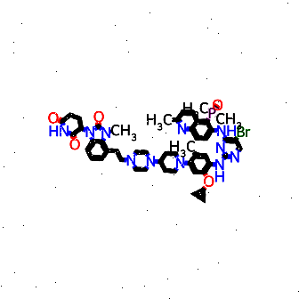 Cc1ccc2c(P(C)(C)=O)c(Nc3nc(Nc4cc(C)c(N5CCC(N6CCN(CCc7cccc8c7n(C)c(=O)n8C7CCC(=O)NC7=O)CC6)CC5)cc4OC4CC4)ncc3Br)ccc2n1